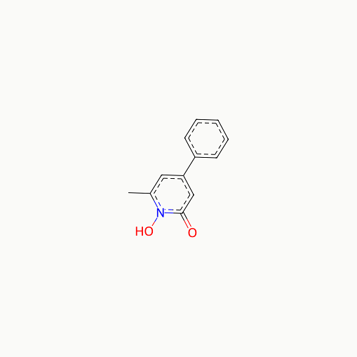 Cc1cc(-c2ccccc2)cc(=O)n1O